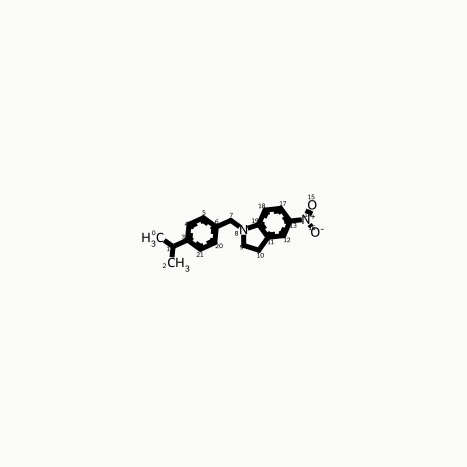 CC(C)c1ccc(CN2CCc3cc([N+](=O)[O-])ccc32)cc1